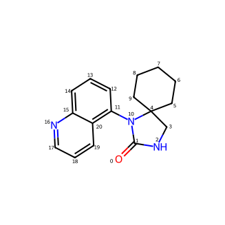 O=C1NCC2(CCCCC2)N1c1cccc2ncccc12